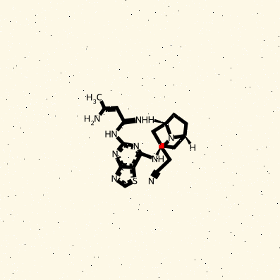 C/C(N)=C/C(=N)Nc1nc(N[C@@H]2C[C@H]3CC[C@@H](C2)N3CCC#N)c2scnc2n1